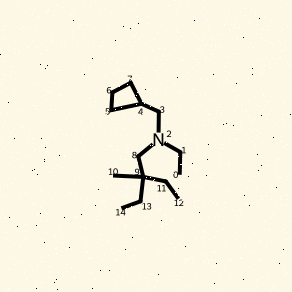 CCN(CC1CCC1)CC(C)(CC)CC